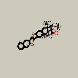 COC(=O)C1(C#N)[C@H]2C=c3cc4c(cc3=C[C@H]2C1(C#N)C#N)sc1c2cc3ccccc3cc2sc41